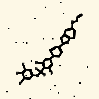 C=CCOc1ccc2nc(-c3ccc(-c4cc(F)c(C(F)(F)Oc5cc(F)c(F)c(F)c5)c(F)c4)cc3)sc2c1